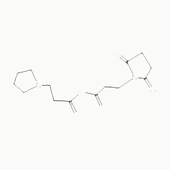 O=C(CCN1CCCC1)OC(=O)CCN1C(=O)CCC1=O